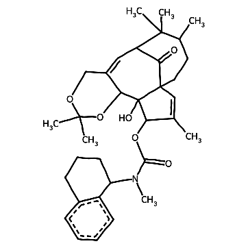 CC1=CC23CCC(C)C(C)(C)C(C=C4COC(C)(C)OC4C2(O)C1OC(=O)N(C)C1CCCc2ccccc21)C3=O